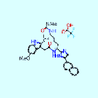 CNC(=O)NCCCC[C@H](NC(=O)Cc1c(C)[nH]c2ccc(OC)cc12)c1ncc(-c2ccc3ccccc3c2)[nH]1.O=C(O)C(F)(F)F